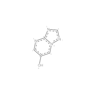 Oc1cnc2ncnn2c1